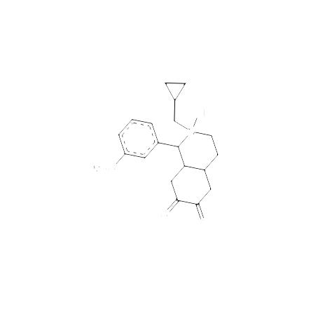 COc1cccc(C2C3CC(=O)C(=O)CC3CC[N+]2(O)CC2CC2)c1